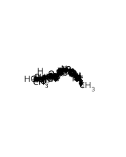 CCCc1cnc(N2CCC(Oc3nc4ccc(C5=CC(S(=O)(=O)CCCC(=O)NCC(C)(C)O)NCC5)cc4s3)CC2)nc1